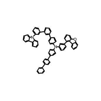 c1ccc(-c2ccc(-c3ccc(N(c4ccc(-c5cccc(-c6cccc(-n7c8ccccc8c8ccccc87)c6)c5)cc4)c4cccc(-c5cccc6oc7ccccc7c56)c4)cc3)cc2)cc1